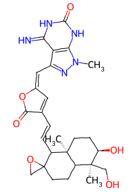 Cn1nc(/C=C2C=C(/C=C/C3C4(CCC5[C@]3(C)CC[C@@H](O)[C@@]5(C)CO)CO4)C(=O)O\2)c2c(=N)[nH]c(=O)[nH]c21